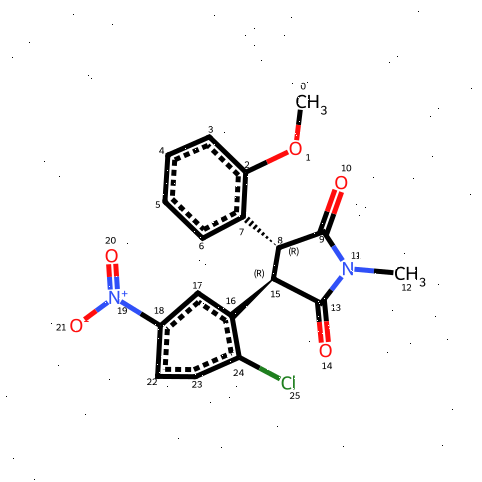 COc1ccccc1[C@@H]1C(=O)N(C)C(=O)[C@H]1c1cc([N+](=O)[O-])ccc1Cl